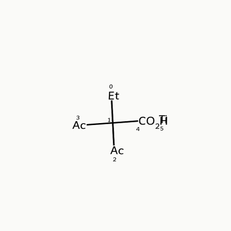 CCC(C(C)=O)(C(C)=O)C(=O)O.[Ti]